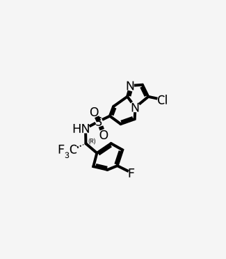 O=S(=O)(N[C@H](c1ccc(F)cc1)C(F)(F)F)c1ccn2c(Cl)cnc2c1